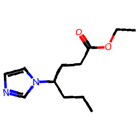 CCCC(CCC(=O)OCC)n1ccnc1